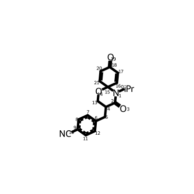 CC(C)N1C(=O)C(Cc2ccc(C#N)cc2)COC12C=CC(=O)C=C2